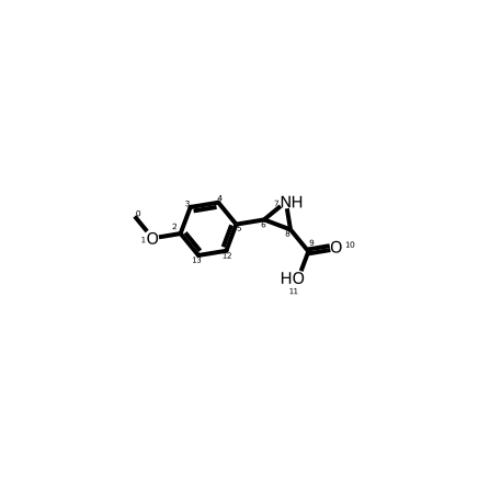 COc1ccc(C2NC2C(=O)O)cc1